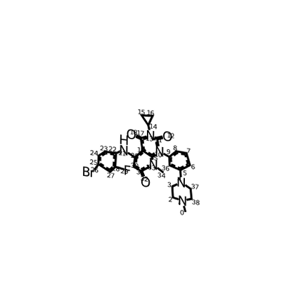 CN1CCN(c2cccc(-n3c(=O)n(C4CC4)c(=O)c4c(Nc5ccc(Br)cc5F)cc(=O)n(C)c43)c2)CC1